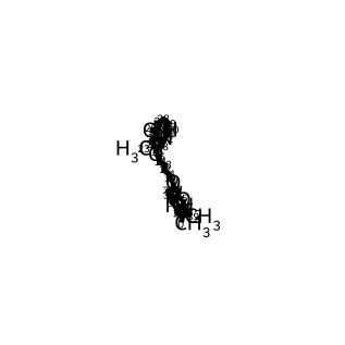 Cc1ccc(Oc2cc(OCCCCCCOc3cc4c(cc3C)C(=O)N3CCC[C@H]3C=N4)ccc2N)cc1C